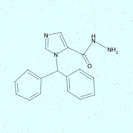 NNC(=O)c1cncn1C(c1ccccc1)c1ccccc1